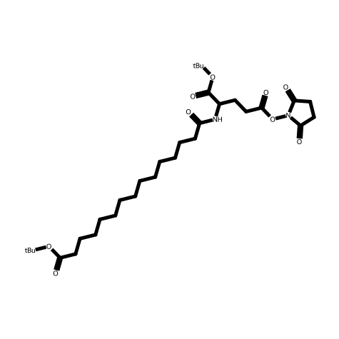 CC(C)(C)OC(=O)CCCCCCCCCCCCCC(=O)NC(CCC(=O)ON1C(=O)CCC1=O)C(=O)OC(C)(C)C